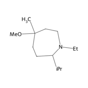 CCN1CCC(C)(OC)CCC1C(C)C